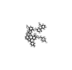 COc1ccc(OCc2ccnc(-c3ccccc3OC)n2)c(C[C@@H](Oc2ncnc3sc(-c4ccc(F)cc4)c(-c4ccc(OCCN5CCN(C)CC5)c(Cl)c4C)c23)C(=O)O)c1